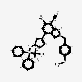 COc1ccc(Cn2cc3c(C4=CCC(O[Si](c5ccccc5)(c5ccccc5)C(C)(C)C)C4)cc(O)c(C#N)c3n2)cc1